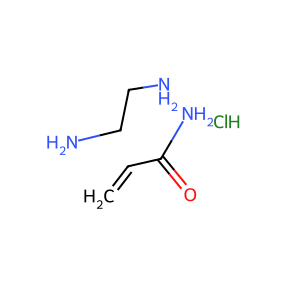 C=CC(N)=O.Cl.NCCN